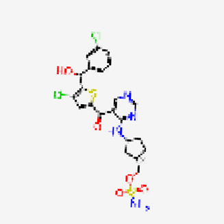 NS(=O)(=O)OC[C@@H]1CCC(Nc2ncncc2C(=O)c2cc(Cl)c(C(O)c3cccc(Cl)c3)s2)C1